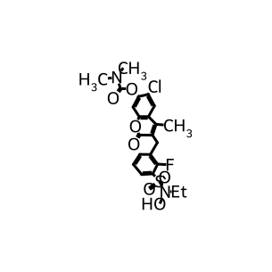 CCN(O)S(=O)(=O)c1cccc(Cc2c(C)c3cc(Cl)c(OC(=O)N(C)C)cc3oc2=O)c1F